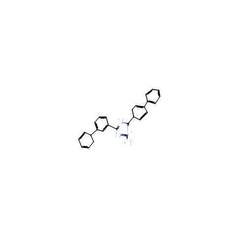 Cc1nc(-c2cccc(C3C=CC=CC3)c2)nc(C2C=CC(c3ccccc3)=CC2)n1